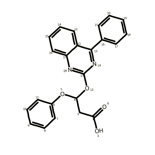 O=C(O)CC(Oc1ccccc1)Oc1nc(-c2ccccc2)c2ccccc2n1